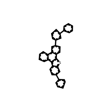 c1ccc(-c2cccc(-c3ccc4c(c3)c3ccccc3c3c5ccc(-c6ccccc6)cc5sc43)c2)cc1